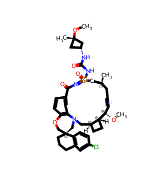 CO[C@H]1/C=C/C[C@H](C)CS(=O)(NC(=O)N[C@H]2C[C@@](C)(OC)C2)=NC(=O)c2ccc3c(c2)N(C[C@@H]2CC[C@H]21)C[C@@]1(CCCc2cc(Cl)ccc21)CO3